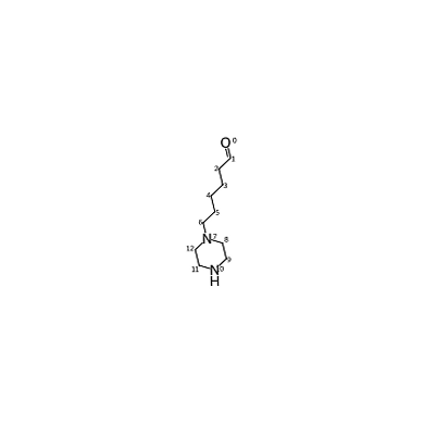 O=CCCCCCN1CCNCC1